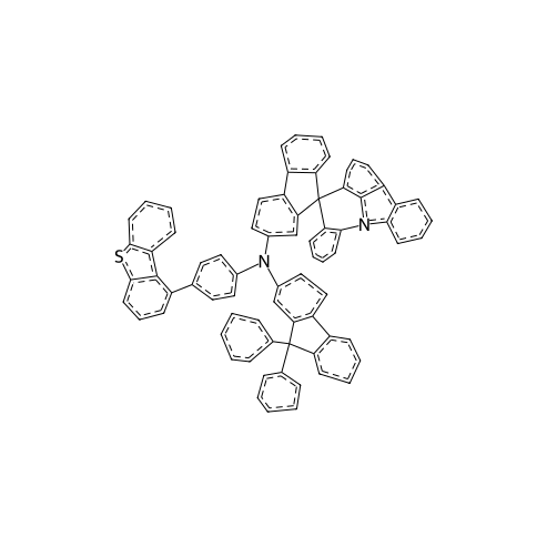 c1ccc(C2(c3ccccc3)c3ccccc3-c3ccc(N(c4ccc(-c5cccc6sc7ccccc7c56)cc4)c4ccc5c(c4)C4(c6ccccc6-5)c5ccccc5-n5c6ccccc6c6cccc4c65)cc32)cc1